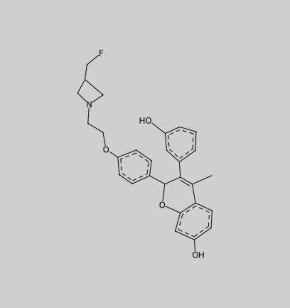 CC1=C(c2cccc(O)c2)C(c2ccc(OCCN3CC(CF)C3)cc2)Oc2cc(O)ccc21